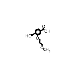 C#Cc1ccc(C(=O)O)cc1OCCCOC